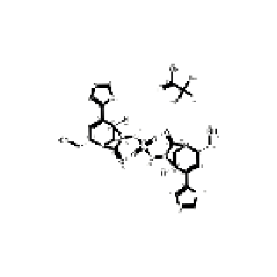 NC[C@@H]1C=C(c2cnco2)[C@@H]2CN1C(=O)N2OS(=O)(=O)ON1C(=O)N2C[C@H]1C(c1cnco1)=C[C@H]2CN.O=C(O)C(F)(F)F